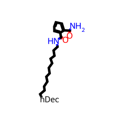 CCCCCCCCCCCCCCCCCCCCCCNC(=O)c1ccccc1C(N)=O